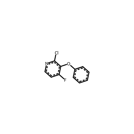 Fc1ccnc(Cl)c1Oc1ccccc1